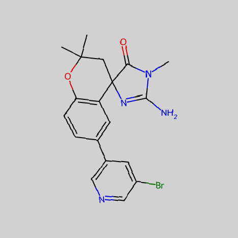 CN1C(=O)C2(CC(C)(C)Oc3ccc(-c4cncc(Br)c4)cc32)N=C1N